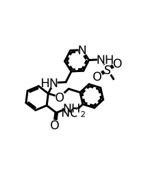 CS(=O)(=O)Nc1cc(CNC2(OCc3ccccc3C#N)C=CC=CC2C(N)=O)ccn1